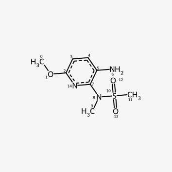 COc1ccc(N)c(N(C)S(C)(=O)=O)n1